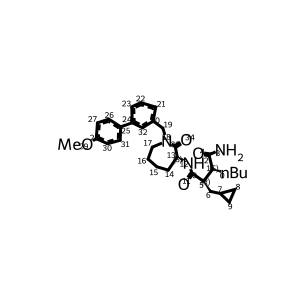 CCCC[C@H](C(N)=O)[C@@H](CC1CC1)C(=O)N[C@H]1CCCCN(Cc2cccc(-c3ccc(OC)cc3)c2)C1=O